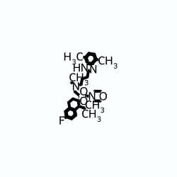 CCN(CCCc1nc2c(C)ccc(C)c2[nH]1)CC[C@@]1(OC(=O)N2CCOCC2)CCc2cc(F)ccc2C1C(C)C